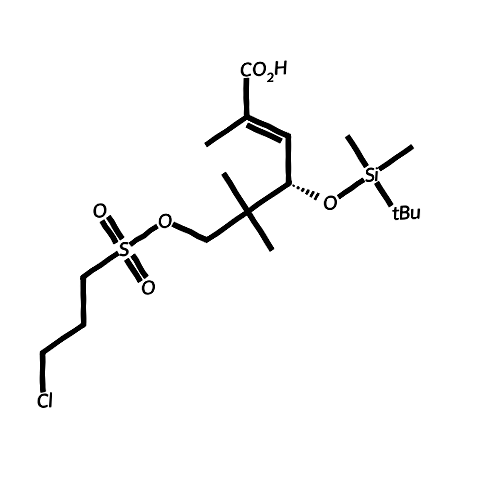 CC(=C[C@H](O[Si](C)(C)C(C)(C)C)C(C)(C)COS(=O)(=O)CCCCl)C(=O)O